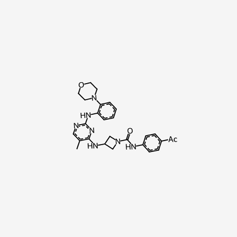 CC(=O)c1ccc(NC(=O)N2CC(Nc3nc(Nc4ccccc4N4CCOCC4)ncc3C)C2)cc1